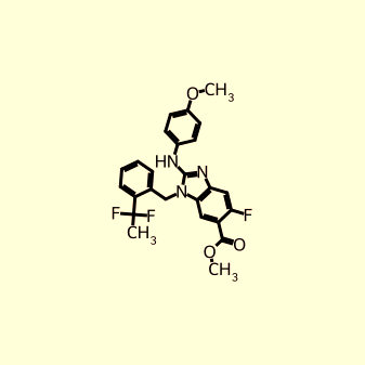 COC(=O)c1cc2c(cc1F)nc(Nc1ccc(OC)cc1)n2Cc1ccccc1C(C)(F)F